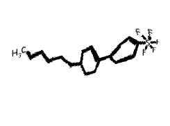 CCCCCCC1CC=C(c2ccc(S(F)(F)(F)(F)F)cc2)CC1